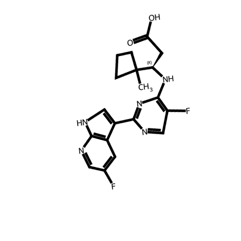 CC1([C@@H](CC(=O)O)Nc2nc(-c3c[nH]c4ncc(F)cc34)ncc2F)CCC1